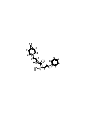 CC(C)N(CCOc1ccccc1)C(=O)NCCN1CCN(C)CC1